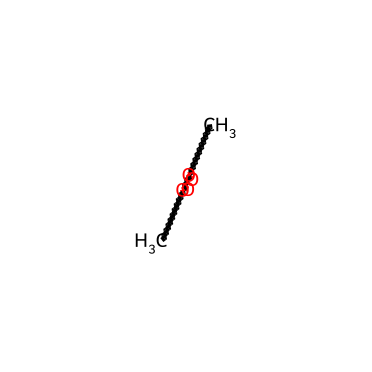 CCCCCCCCCCCCCCCCCCCCOC(=O)CCCC(=O)OCCCCCCCCCCCCCCCCCCCC